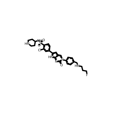 O=c1nc2[nH]c(-c3ccc(S(=O)(=O)NC4CCNCC4)c(Cl)c3)cc2cn1-c1ccc(CNCCCF)cc1